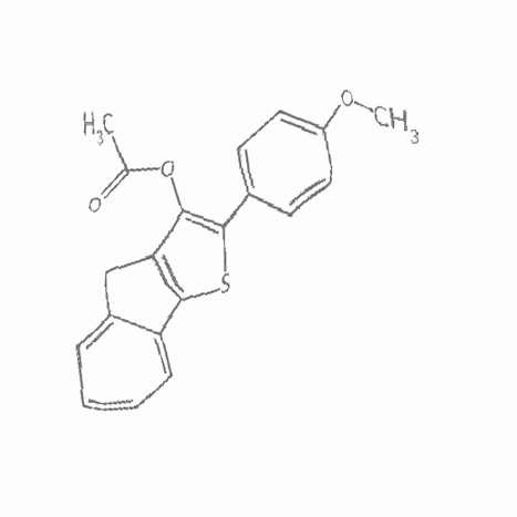 COc1ccc(-c2sc3c(c2OC(C)=O)Cc2ccccc2-3)cc1